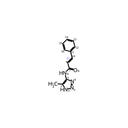 Cc1[nH]nnc1NC(=O)/C=C/c1ccccc1